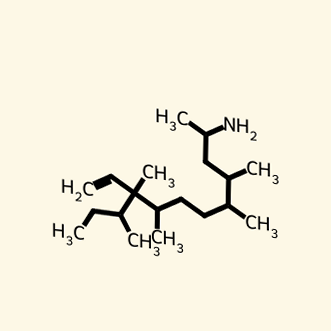 C=CC(C)(C(C)CC)C(C)CCC(C)C(C)CC(C)N